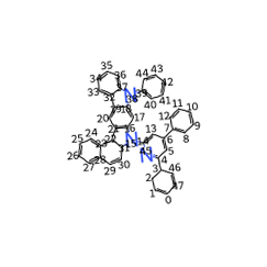 C1=CCC(c2cc(-c3ccccc3)cc(N3c4cc5c(cc4C4c6ccccc6C=CC43)c3ccccc3n5-c3ccccc3)n2)C=C1